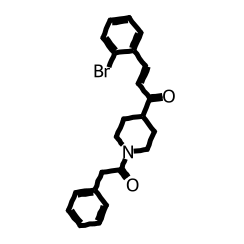 O=C(/C=C/c1ccccc1Br)C1CCN(C(=O)Cc2ccccc2)CC1